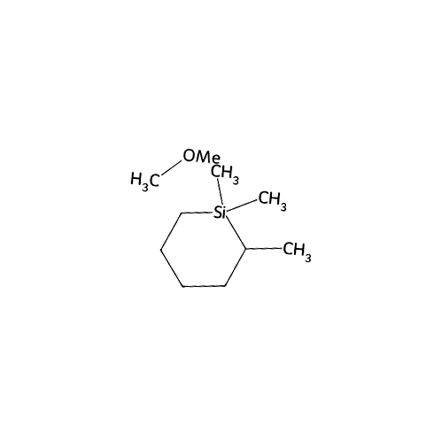 CC1CCCC[Si]1(C)C.COC